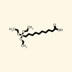 CCO[Si](CCCCCCCCCC(=O)O)(OCC)OCC